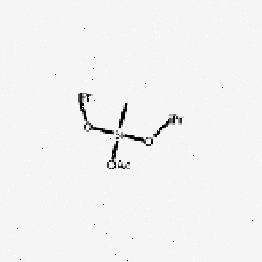 CC(=O)O[Si](C)(OC(C)C)OC(C)C